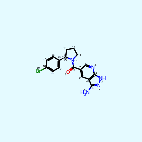 Nc1n[nH]c2ncc(C(=O)N3CCC[C@@H]3c3ccc(Br)cc3)cc12